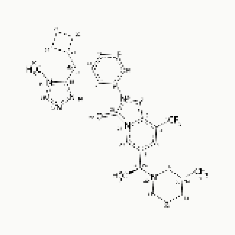 C[C@@H](c1cc(C(F)(F)F)c2cn(-c3cccc([C@H](c4nncn4C)C4CCC4)c3)c(=O)n2c1)N1CCC[C@@H](C(F)(F)F)C1